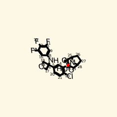 O=S(=O)(c1cc(C2(Nc3cc(F)c(F)c(F)c3)COC2)ccc1Cl)N1C2CCC1CC(O)C2